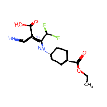 CCOC(=O)[C@H]1CC[C@H](N/C(=C(\C=N)C(=O)O)C(F)F)CC1